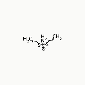 C=CCSP(N)(=O)SCC=C